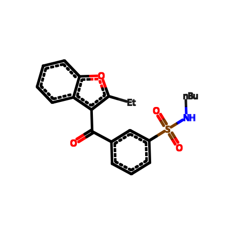 CCCCNS(=O)(=O)c1cccc(C(=O)c2c(CC)oc3ccccc23)c1